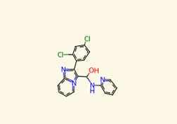 OC(Nc1ccccn1)c1c(-c2ccc(Cl)cc2Cl)nc2ccccn12